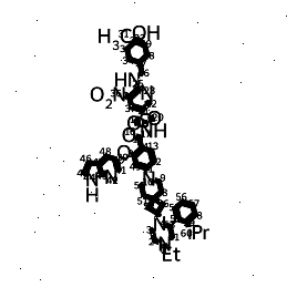 CCN1CCN(C2CC3(CCN(c4ccc(C(=O)NS(=O)(=O)c5cnc(NCC6CCC(C)(O)CC6)c([N+](=O)[O-])c5)c(Oc5cnc6[nH]ccc6c5)c4)CC3)C2)[C@@H](c2ccccc2C(C)C)C1